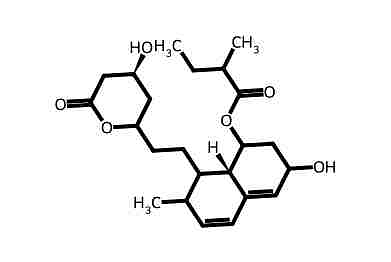 CCC(C)C(=O)OC1CC(O)C=C2C=CC(C)C(CCC3C[C@H](O)CC(=O)O3)[C@@H]21